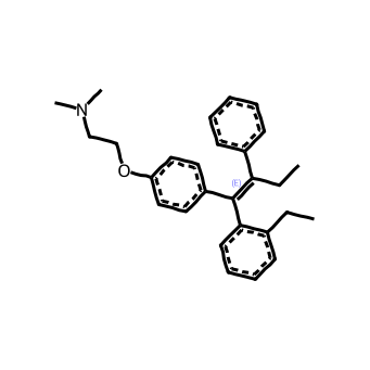 CC/C(=C(/c1ccc(OCCN(C)C)cc1)c1ccccc1CC)c1ccccc1